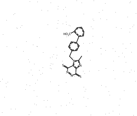 Cc1nc2c(n1Cc1ccc(-c3ccccc3C(=O)O)cc1)C(=S)N=NC2=S